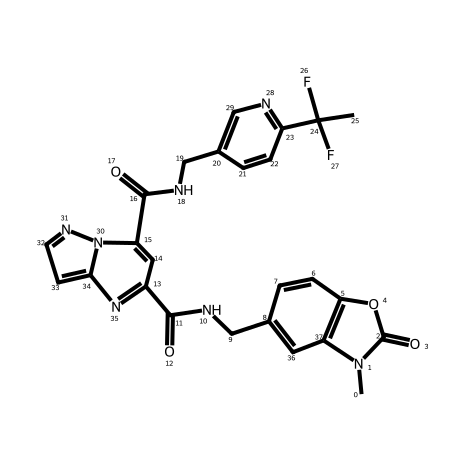 Cn1c(=O)oc2ccc(CNC(=O)c3cc(C(=O)NCc4ccc(C(C)(F)F)nc4)n4nccc4n3)cc21